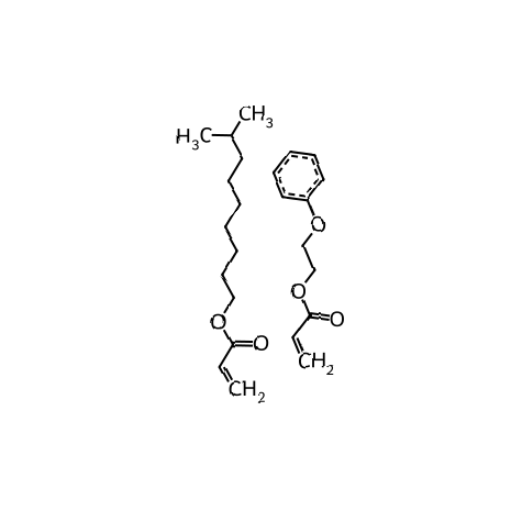 C=CC(=O)OCCCCCCCC(C)C.C=CC(=O)OCCOc1ccccc1